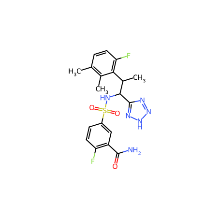 Cc1ccc(F)c(C(C)C(NS(=O)(=O)c2ccc(F)c(C(N)=O)c2)c2nn[nH]n2)c1C